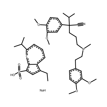 CCc1cc(S(=O)(=O)O)c2cc(C(C)C)cccc1-2.COc1ccc(CCN(C)CCCC(C#N)(c2ccc(OC)c(OC)c2)C(C)C)cc1OC.[NaH]